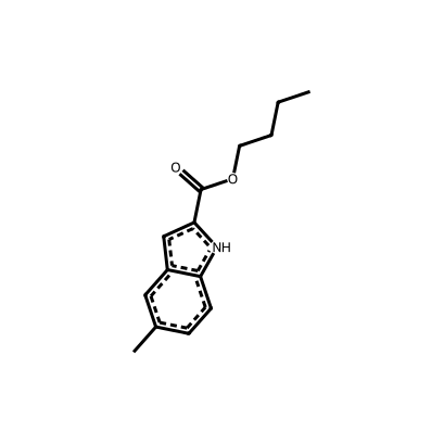 CCCCOC(=O)c1cc2cc(C)ccc2[nH]1